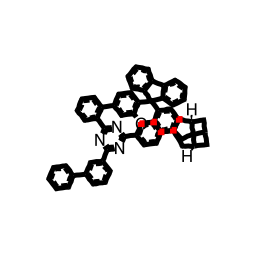 c1ccc(-c2cccc(-c3nc(-c4ccc(C56C[C@H]7CC8C[C@@H](C5)C87C6)cc4)nc(-c4ccccc4-c4ccc5c(c4)Oc4ccccc4C54c5ccccc5-c5ccccc54)n3)c2)cc1